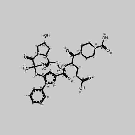 COC(=O)[C@@H]1C[C@@H](O)CN1C(=O)C(C)(C)Oc1cc(C(=O)NC(CCC(=O)O)C(=O)N2CCN(C(=O)O)CC2)nn1-c1ccccc1